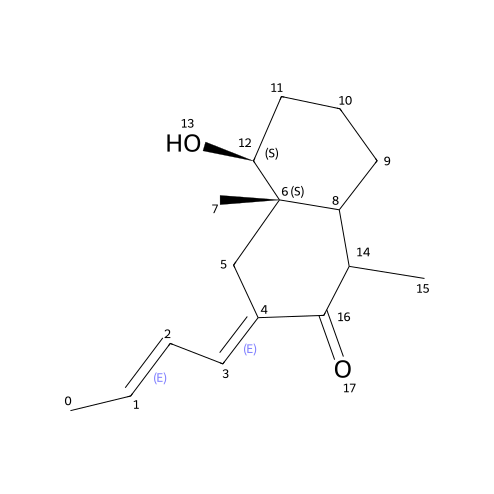 C/C=C/C=C1\C[C@@]2(C)C(CCC[C@@H]2O)C(C)C1=O